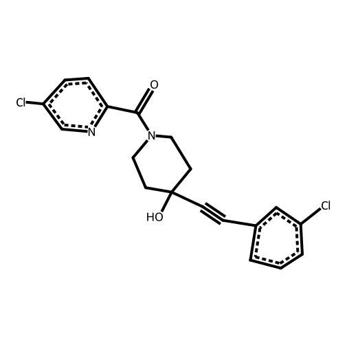 O=C(c1ccc(Cl)cn1)N1CCC(O)(C#Cc2cccc(Cl)c2)CC1